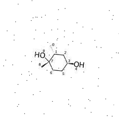 C[C@@H]1C[C@@H](O)CC[C@]1(C)O